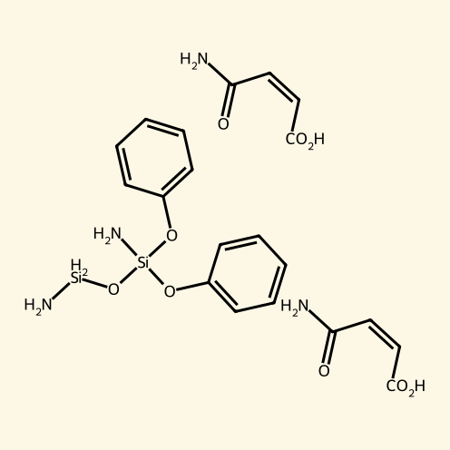 NC(=O)/C=C\C(=O)O.NC(=O)/C=C\C(=O)O.N[SiH2]O[Si](N)(Oc1ccccc1)Oc1ccccc1